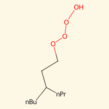 CCCCC(CCC)CCOOOO